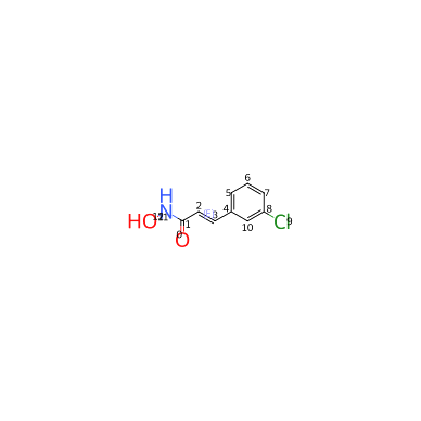 O=C(/C=C/c1cccc(Cl)c1)NO